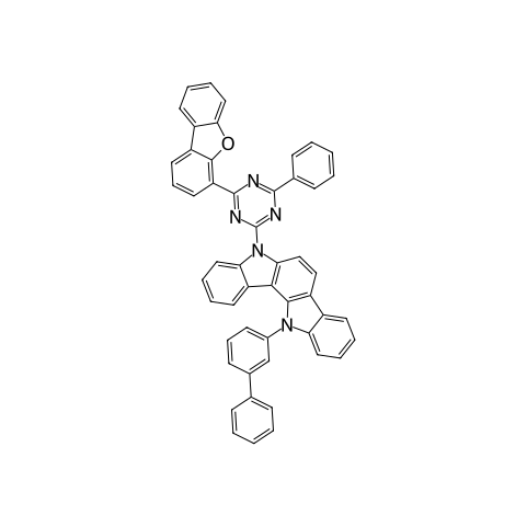 c1ccc(-c2cccc(-n3c4ccccc4c4ccc5c(c6ccccc6n5-c5nc(-c6ccccc6)nc(-c6cccc7c6oc6ccccc67)n5)c43)c2)cc1